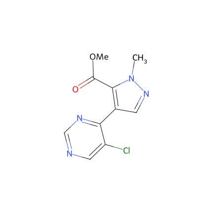 COC(=O)c1c(-c2ncncc2Cl)cnn1C